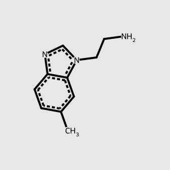 Cc1ccc2ncn(CCN)c2c1